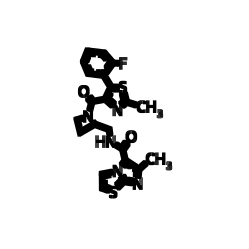 Cc1nc(C(=O)N2CCC2CNC(=O)c2c(C)nc3sccn23)c(-c2ccccc2F)s1